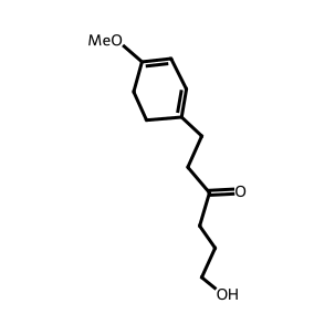 COC1=CC=C(CCC(=O)CCCO)CC1